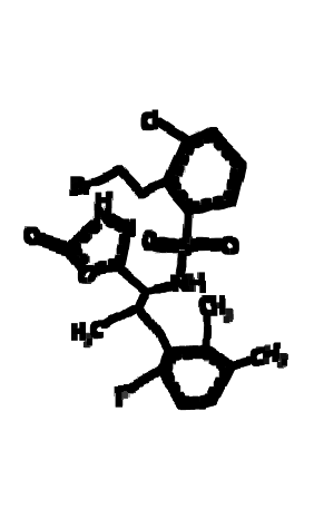 Cc1ccc(F)c(C(C)[C@H](NS(=O)(=O)c2cccc(Cl)c2CCBr)c2n[nH]c(=O)o2)c1C